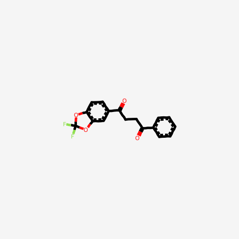 O=C(CCC(=O)c1ccc2c(c1)OC(F)(F)O2)c1ccccc1